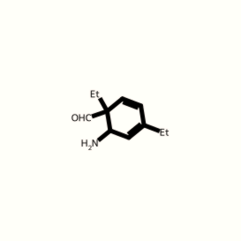 CCC1=CC(N)C(C=O)(CC)C=C1